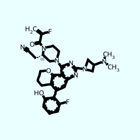 C=C(F)C(=O)N1CCN(c2nc(N3CC(N(C)C)C3)nc3cc(-c4c(O)cccc4F)c4c(c23)OCCC4)C[C@@H]1CC#N